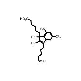 CC1=[N+](CCCCS(=O)(=O)O)c2cc(C(F)(F)F)cc(C(F)(F)F)c2C1(C)CCCCCC(=O)O